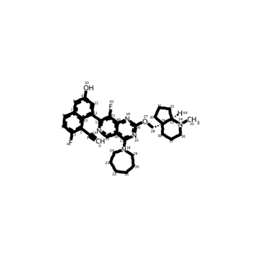 C#Cc1c(F)ccc2cc(O)cc(-c3ncc4c(N5CCCCCC5)nc(OC[C@]56CCC[C@H]5N(C)CCC6)nc4c3F)c12